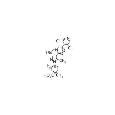 CC(C)(C)CN(CC(=O)c1c(Cl)cncc1Cl)C(=O)c1cnn([C@@H]2CC[C@@](C)(C(=O)O)C[C@@H]2F)c1C(F)(F)F